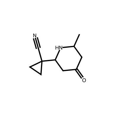 CC1CC(=O)CC(C2(C#N)CC2)N1